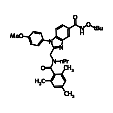 CCCN(Cc1nc2cc(C(=O)NOC(C)(C)C)ccc2n1-c1ccc(OC)cc1)C(=O)c1c(C)cc(C)cc1C